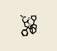 CN(C)CC1CC(c2ccccc2)(C23CC4CC(CC(C5CCCC5)(C4)C2)C3)OC1=O